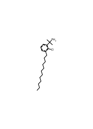 CCCCCCCCCCCCc1cccc(C(C)(C)P)c1Cl